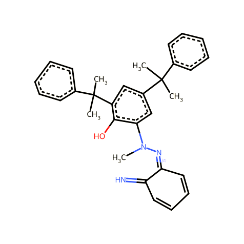 CN(/N=C1/C=CC=CC1=N)c1cc(C(C)(C)c2ccccc2)cc(C(C)(C)c2ccccc2)c1O